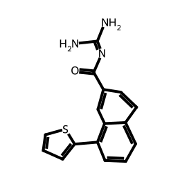 NC(N)=NC(=O)c1ccc2cccc(-c3cccs3)c2c1